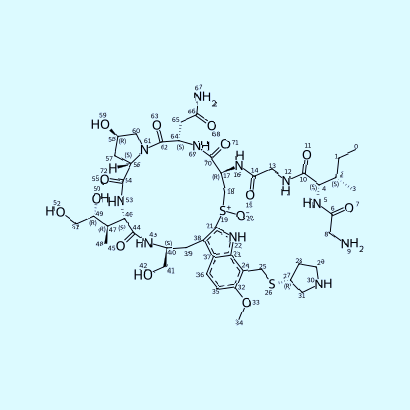 CC[C@H](C)[C@H](NC(=O)CN)C(=O)NCC(=O)N[C@H]1C[S+]([O-])c2[nH]c3c(CS[C@@H]4CCNC4)c(OC)ccc3c2C[C@@H](CO)NC(=O)[C@H]([C@@H](C)[C@@H](O)CO)NC(=O)[C@@H]2C[C@@H](O)CN2C(=O)[C@H](CC(N)=O)NC1=O